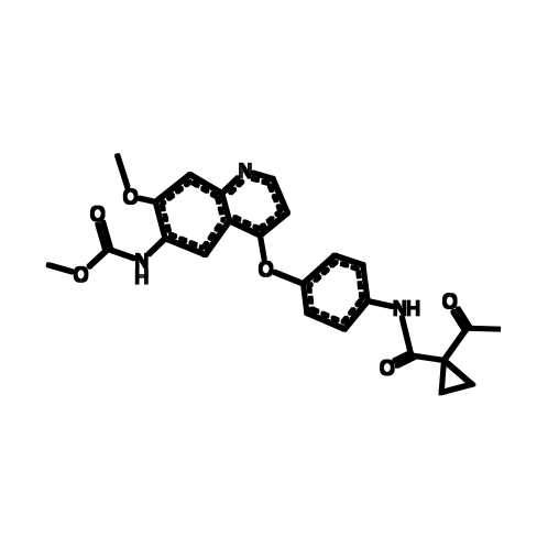 COC(=O)Nc1cc2c(Oc3ccc(NC(=O)C4(C(C)=O)CC4)cc3)ccnc2cc1OC